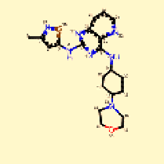 Cc1cc(Nc2nc(NC3CCC(N4CCOCC4)CC3)c3ncccc3n2)sn1